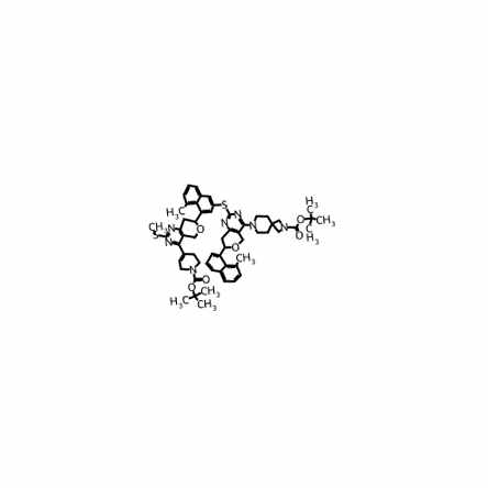 CSc1nc2c(c(C3=CCN(C(=O)OC(C)(C)C)CC3)n1)COC(c1cc(Sc3nc4c(c(N5CCC6(CC5)CN(C(=O)OC(C)(C)C)C6)n3)COC(c3cccc5cccc(C)c35)C4)cc3cccc(C)c13)C2